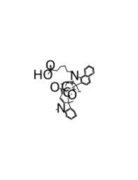 CN1C(=Cc2c([O-])[c+](C=C3N(CCCCCC(=O)O)c4c(ccc5ccccc45)C3(C)C)[c+]2[O-])C(C)(C)c2ccccc21